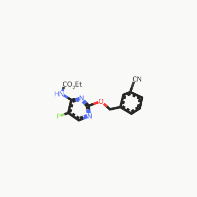 CCOC(=O)Nc1nc(OCc2cccc(C#N)c2)ncc1F